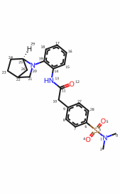 CN(C)S(=O)(=O)c1ccc(CC(=O)Nc2ccccc2N2CC3CC[C@@H]2C3)cc1